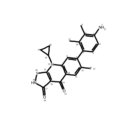 Cc1c(N)ccc(-c2cc3c(cc2F)c(=O)c2c(=O)[nH]sc2n3C2CC2)c1C